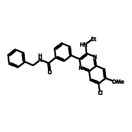 CCNc1nc2cc(OC)c(Cl)cc2nc1-c1cccc(C(=O)NCc2ccccc2)c1